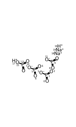 O=P(=O)[O-].O=P(=O)[O-].O=P(=O)[O-].O=P(=O)[O-].[H+].[H+].[Na+].[Na+]